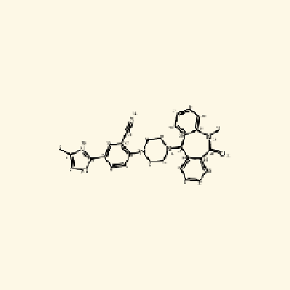 Cc1coc(-c2ccc(N3CCN(C4c5ccccc5C(=O)N(C)c5ccccc54)CC3)c(C#N)c2)n1